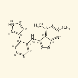 Cc1cc(C(F)(F)F)nc2scc(Nc3ccccc3-c3cc[nH]n3)c12